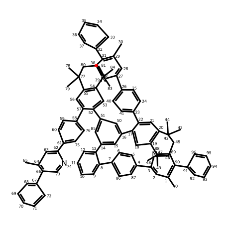 Cc1cc(-c2ccc(-c3ccccc3-c3cc(-c4cc5c(cc4-c4ccc(-c6cc(C)c(-c7ccccc7)cn6)cc4)C(C)(C)CCC5(C)C)cc(-c4cc5c(cc4-c4ccc(-c6cc(C)c(-c7ccccc7)cn6)cc4)C(C)(C)CCC5(C)C)c3)cc2)ncc1-c1ccccc1